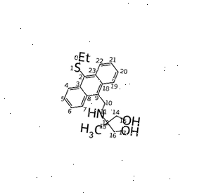 CCSc1c2ccccc2c(CNC(C)(CO)CO)c2ccccc12